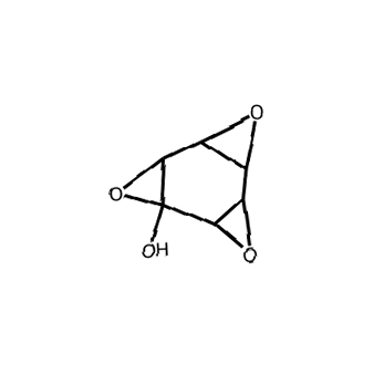 OC12OC1C1OC1C1OC12